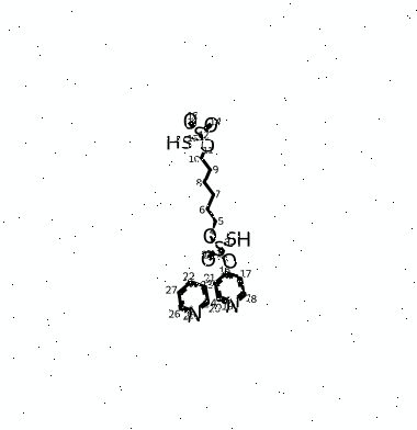 O=S(=O)(S)OCCCCCCOS(=O)(=O)S.c1ccncc1.c1ccncc1